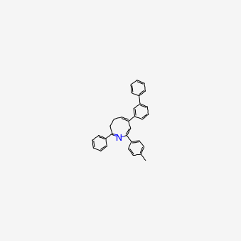 Cc1ccc(C2=C/C(c3cccc(-c4ccccc4)c3)=C\CC/C(c3ccccc3)=N\2)cc1